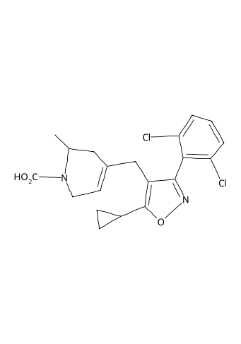 CC1CC(Cc2c(-c3c(Cl)cccc3Cl)noc2C2CC2)=CCN1C(=O)O